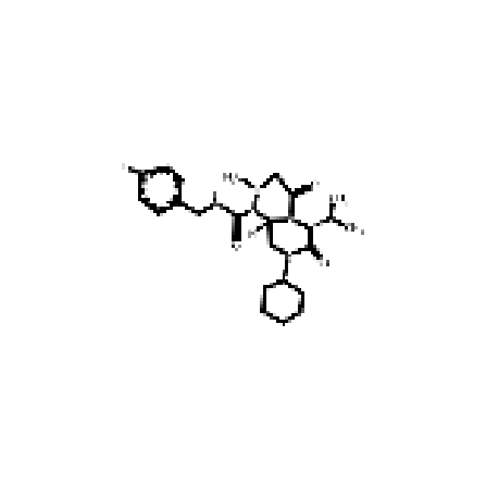 CC(C)[C@H]1C(=O)N(C2CCCCC2)C[C@H]2N1C(=O)CN(C)N2C(=O)NCc1ccc(F)cc1